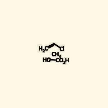 C.C=CCl.O=C(O)O